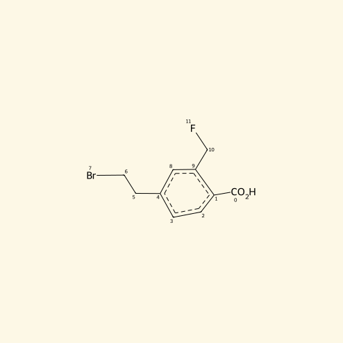 O=C(O)c1ccc(CCBr)cc1CF